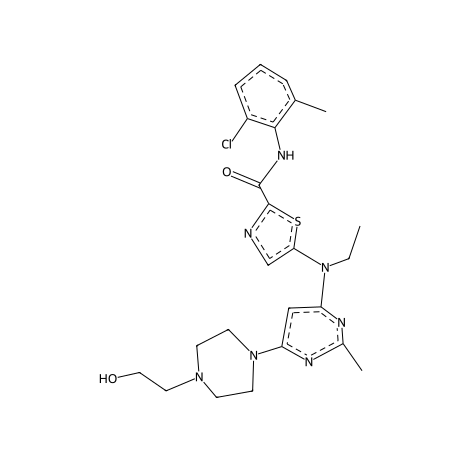 CCN(c1cc(N2CCN(CCO)CC2)nc(C)n1)c1cnc(C(=O)Nc2c(C)cccc2Cl)s1